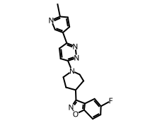 Cc1ccc(-c2ccc(N3CCC(c4noc5ccc(F)cc45)CC3)nn2)cn1